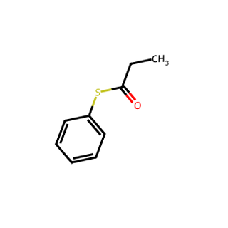 CCC(=O)Sc1cc[c]cc1